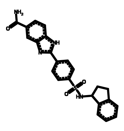 NC(=O)c1ccc2[nH]c(-c3ccc(S(=O)(=O)NC4CCc5ccccc54)cc3)nc2c1